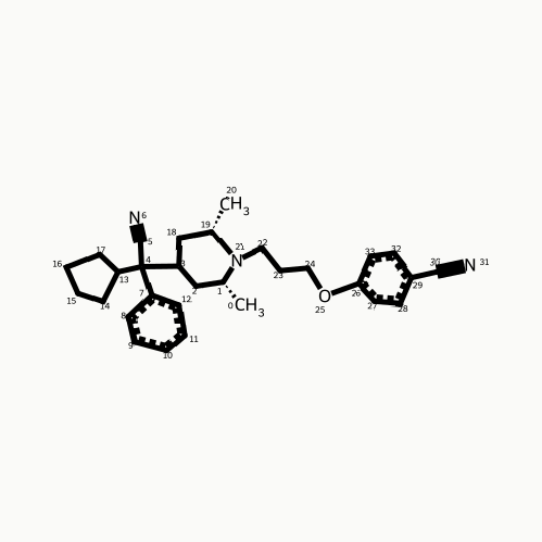 C[C@@H]1CC(C(C#N)(c2ccccc2)C2CCCC2)C[C@H](C)N1CCCOc1ccc(C#N)cc1